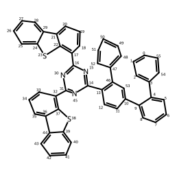 c1ccc(-c2ccccc2-c2ccc(-c3nc(-c4cccc5c4sc4ccccc45)nc(-c4cccc5c4sc4ccccc45)n3)c(-c3ccccc3)c2)cc1